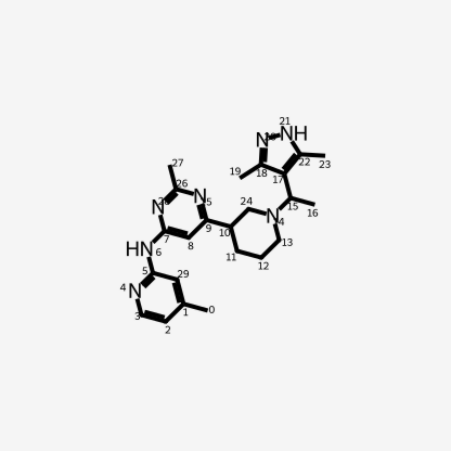 Cc1ccnc(Nc2cc(C3CCCN(C(C)c4c(C)n[nH]c4C)C3)nc(C)n2)c1